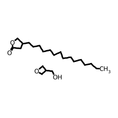 CCCCCCCCCCCCCCCC1COC(=O)C1.OCC1COC1